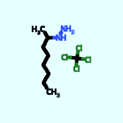 CCCCCCC(C)NN.ClC(Cl)(Cl)Cl